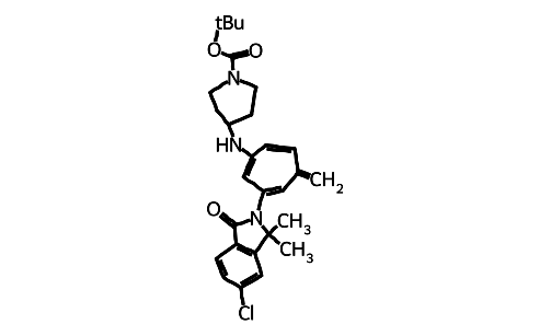 C=C1C=CC(NC2CCN(C(=O)OC(C)(C)C)CC2)=CC(N2C(=O)c3ccc(Cl)cc3C2(C)C)=C1